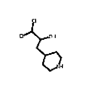 OC(CC1CCNCC1)C(Cl)Cl